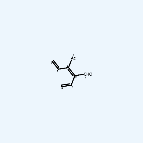 C=C/C(C=O)=C(\C=C)C(C)=O